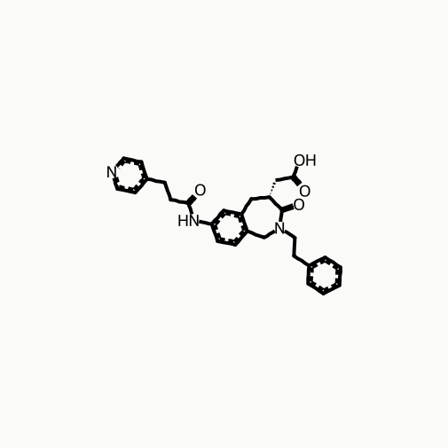 O=C(O)C[C@H]1Cc2cc(NC(=O)CCc3ccncc3)ccc2CN(CCc2ccccc2)C1=O